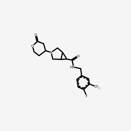 O=C1CC(N2CC3C(C2)C3C(=O)NCc2ccc(F)c(C(F)(F)F)c2)CCO1